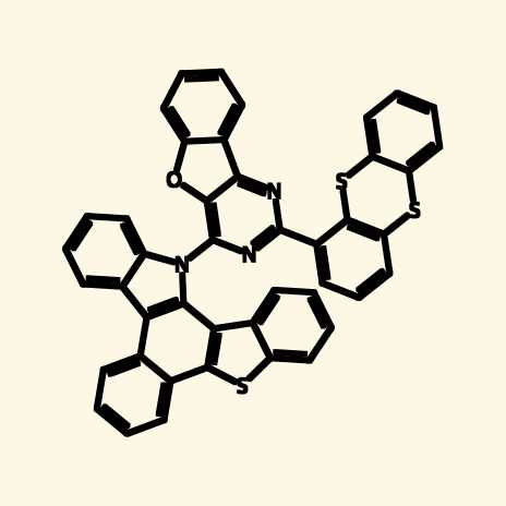 c1ccc2c(c1)Sc1cccc(-c3nc(-n4c5ccccc5c5c6ccccc6c6sc7ccccc7c6c54)c4oc5ccccc5c4n3)c1S2